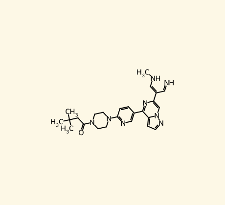 CN/C=C(\C=N)c1cn2nccc2c(-c2ccc(N3CCN(C(=O)CC(C)(C)C)CC3)nc2)n1